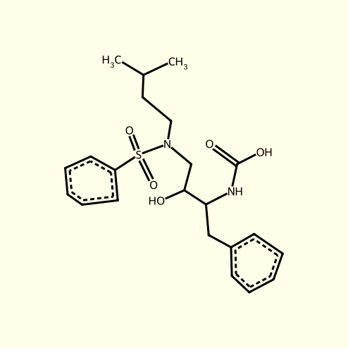 CC(C)CCN(CC(O)C(Cc1ccccc1)NC(=O)O)S(=O)(=O)c1ccccc1